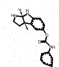 C[C@@]12CCN[C@@H]1Nc1ccc(OC(=O)Nc3ccccc3)cc12